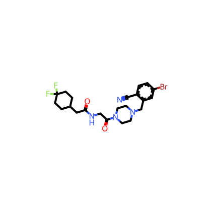 N#Cc1ccc(Br)cc1CN1CCN(C(=O)CNC(=O)CC2CCC(F)(F)CC2)CC1